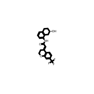 O=C(/C=C1\CCOc2cc(C(F)(F)F)ccc21)Nc1cccc2c1C[C@@H](O)CC2